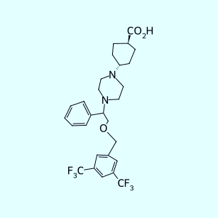 O=C(O)[C@H]1CC[C@H](N2CCN(C(COCc3cc(C(F)(F)F)cc(C(F)(F)F)c3)c3ccccc3)CC2)CC1